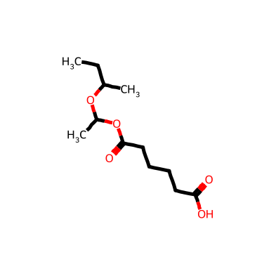 CCC(C)OC(C)OC(=O)CCCCC(=O)O